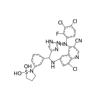 N#Cc1cnc2c(Cl)cc(NC(c3cccc(N4CCCS4(O)O)c3)c3c[nH]nn3)cc2c1Nc1ccc(Cl)c(Cl)c1F